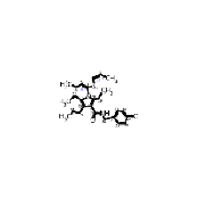 C/C=C\S/C(=C/CC)n1c(CC)c(CCC)c(C(=O)NCc2ccc(Cl)cc2)c1CC